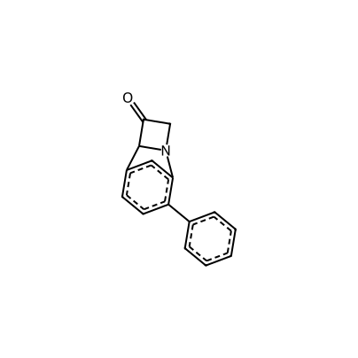 O=C1CN2c3cc(ccc3-c3ccccc3)C12